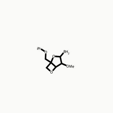 BC1OC2(COC(C)C)COC2C1OC